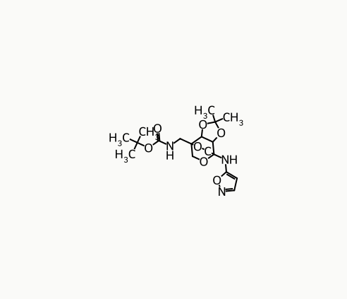 CC(C)(C)OC(=O)NCC12COC(Nc3ccno3)(CO1)C1OC(C)(C)OC12